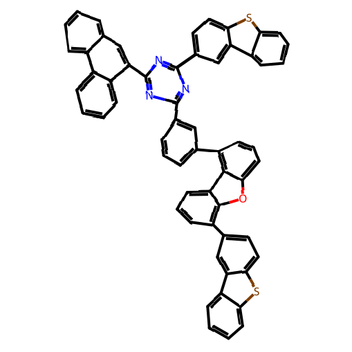 c1cc(-c2nc(-c3ccc4sc5ccccc5c4c3)nc(-c3cc4ccccc4c4ccccc34)n2)cc(-c2cccc3oc4c(-c5ccc6sc7ccccc7c6c5)cccc4c23)c1